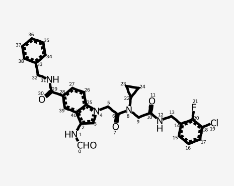 O=CNc1cn(CC(=O)N(CC(=O)NCc2cccc(Cl)c2F)C2CC2)c2ccc(C(=O)NCc3ccccc3)cc12